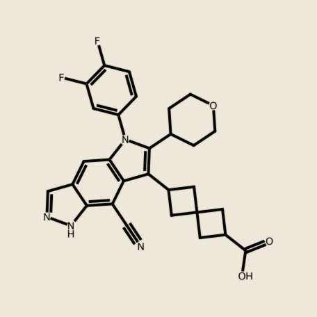 N#Cc1c2[nH]ncc2cc2c1c(C1CC3(CC(C(=O)O)C3)C1)c(C1CCOCC1)n2-c1ccc(F)c(F)c1